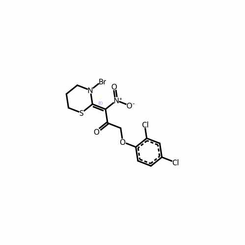 O=C(COc1ccc(Cl)cc1Cl)/C(=C1\SCCCN1Br)[N+](=O)[O-]